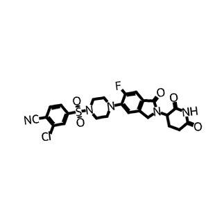 N#Cc1ccc(S(=O)(=O)N2CCN(c3cc4c(cc3F)C(=O)N(C3CCC(=O)NC3=O)C4)CC2)cc1Cl